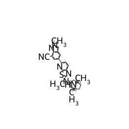 CN(c1nc2ccc(-c3cc(C#N)c4nn(C)cc4c3)nc2s1)[C@H]1C[C@]2(C)CC[C@](C)(C1)N2